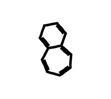 C1=CC=C2C=CCC=C2C=C1